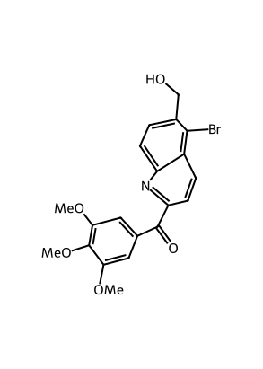 COc1cc(C(=O)c2ccc3c(Br)c(CO)ccc3n2)cc(OC)c1OC